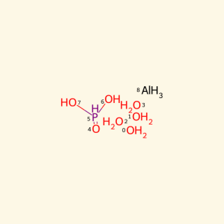 O.O.O.O.O=[PH](O)O.[AlH3]